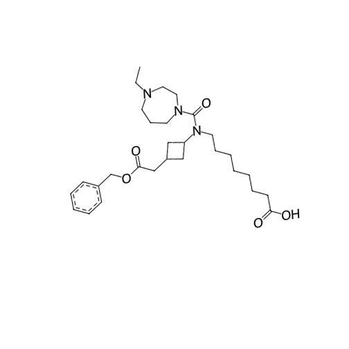 CCN1CCCN(C(=O)N(CCCCCCCC(=O)O)C2CC(CC(=O)OCc3ccccc3)C2)CC1